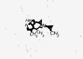 Cc1cnc2[nH]cc(C3CC3)c2c1C(C)CCNC1CC1C